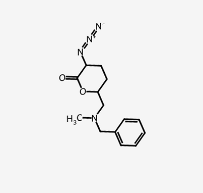 CN(Cc1ccccc1)CC1CCC(N=[N+]=[N-])C(=O)O1